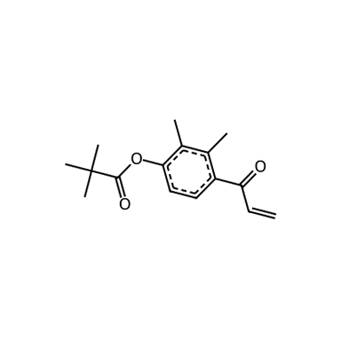 C=CC(=O)c1ccc(OC(=O)C(C)(C)C)c(C)c1C